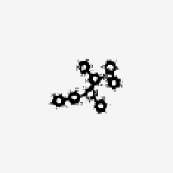 C1=Cc2c(n(-c3cc(-c4cccnc4)cc(-c4cc(-c5ccc(-c6ccccc6)cc5)nc(-c5ccccc5)n4)c3)c3ccccc23)CC1